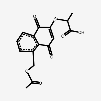 CC(=O)OCc1cccc2c1C(=O)C=C(SC(C)C(=O)O)C2=O